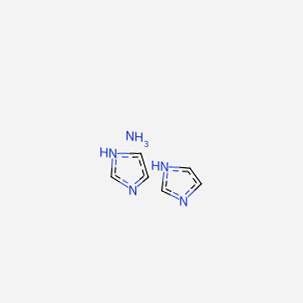 N.c1c[nH]cn1.c1c[nH]cn1